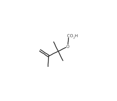 C=C(C)C(C)(C)OC(=O)O